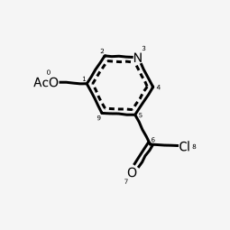 CC(=O)Oc1cncc(C(=O)Cl)c1